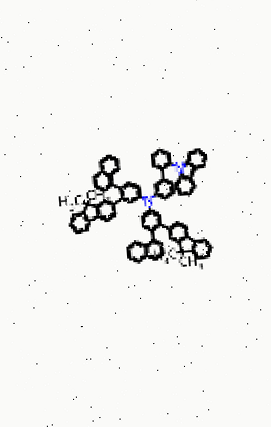 CC1(C)c2ccccc2-c2ccc(-c3cc(N(c4cccc(-c5ccccc5-n5c6ccccc6c6ccccc65)c4)c4ccc(-c5cccc6ccccc56)c(-c5ccc6c(c5)C(C)(C)c5ccccc5-6)c4)ccc3-c3cccc4ccccc34)cc21